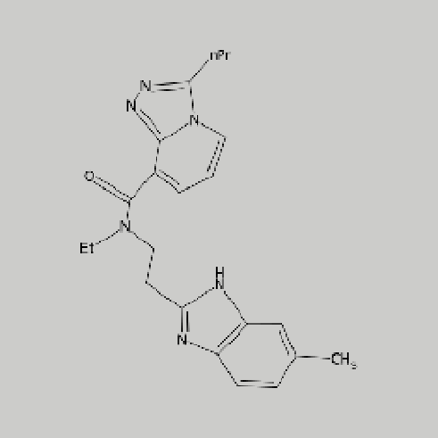 CCCc1nnc2c(C(=O)N(CC)CCc3nc4ccc(C)cc4[nH]3)cccn12